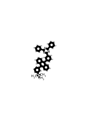 C=P(C)(C)c1cccc(-c2c3ccccc3c(-c3cccc(-c4nc(-c5ccccc5)nc(-c5ccccc5)n4)c3)c3ccccc23)c1